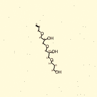 C=CCOCC(O)COCC(O)COCCCO